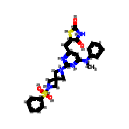 CN(c1ccccc1)c1cc(C=C2SC(=O)NC2=O)nc(N2CC3(C2)CN(S(=O)(=O)c2ccccc2)C3)n1